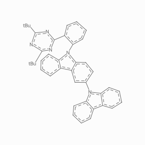 CC(C)(C)c1nc(-c2ccccc2-n2c3ccccc3c3cc(-n4c5ccccc5c5ccccc54)ccc32)nc(C(C)(C)C)n1